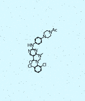 CC(=O)N1CCN(c2ccc(Nc3ncc4c(n3)N(C)CN(c3c(Cl)cccc3Cl)C4=O)cc2)CC1